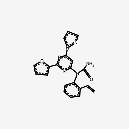 C=Cc1ccccc1N(C(N)=O)c1cc(-n2cccn2)nc(-c2ccco2)n1